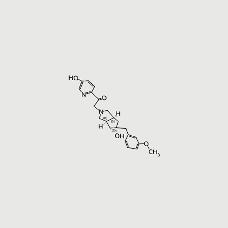 COc1cccc(C[C@@]2(O)C[C@H]3CN(CC(=O)c4ccc(O)cn4)C[C@H]3C2)c1